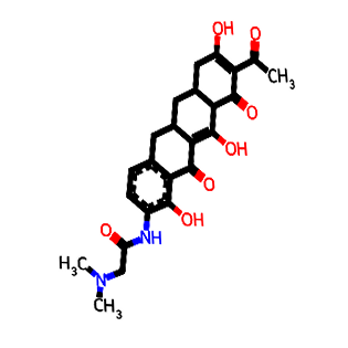 CC(=O)C1=C(O)CC2CC3Cc4ccc(NC(=O)CN(C)C)c(O)c4C(=O)C3=C(O)C2C1=O